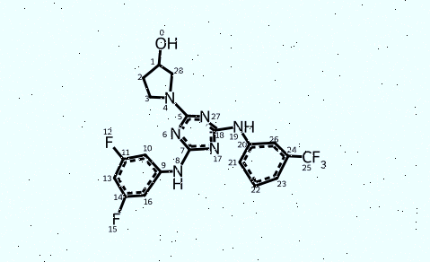 OC1CCN(c2nc(Nc3cc(F)cc(F)c3)nc(Nc3cccc(C(F)(F)F)c3)n2)C1